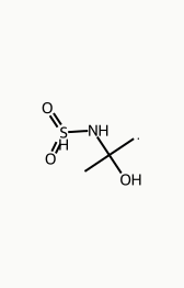 [CH2]C(C)(O)N[SH](=O)=O